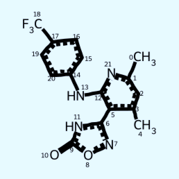 Cc1cc(C)c(-c2noc(=O)[nH]2)c(Nc2ccc(C(F)(F)F)cc2)n1